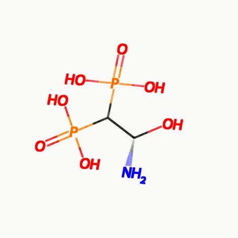 N[C@@H](O)C(P(=O)(O)O)P(=O)(O)O